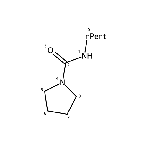 CCCCCNC(=O)N1CCCC1